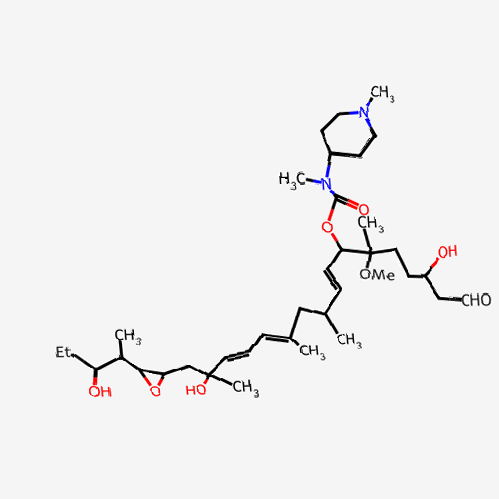 CCC(O)C(C)C1OC1CC(C)(O)/C=C/C=C(\C)CC(C)/C=C/C(OC(=O)N(C)C1CCN(C)CC1)C(C)(CCC(O)CC=O)OC